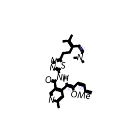 C=C/C=C\C(OC)=C(/F)c1cc(C)ncc1C(=O)Nc1nnc(CCC(/C=C\N(C)C)=C(C)C)s1